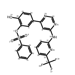 O=S(=O)(Oc1cc(-c2cc(Nc3cccc(C(F)(F)F)n3)ncn2)ccc1O)c1ccccc1